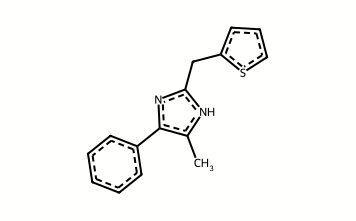 Cc1[nH]c(Cc2cccs2)nc1-c1ccccc1